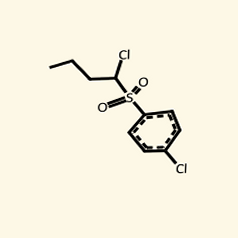 CCCC(Cl)S(=O)(=O)c1ccc(Cl)cc1